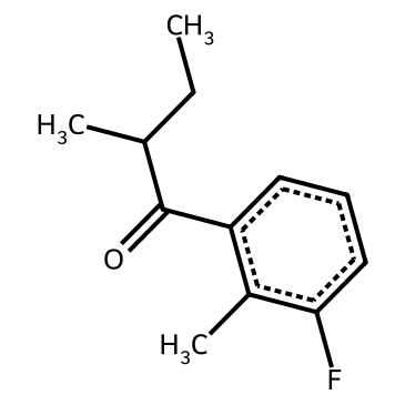 CCC(C)C(=O)c1cccc(F)c1C